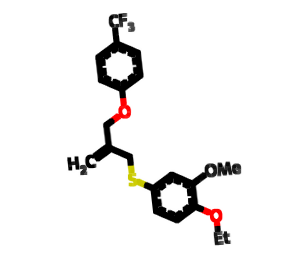 C=C(COc1ccc(C(F)(F)F)cc1)CSc1ccc(OCC)c(OC)c1